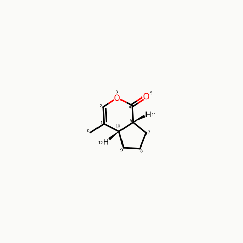 CC1=COC(=O)[C@@H]2CCC[C@H]12